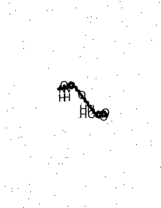 CCNC(=O)Nc1cccc(CCCCOCCCCCCNC[C@@H](O)c2ccc3c(c2)COC(C)(C)O3)c1